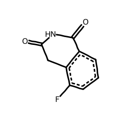 O=C1Cc2c(F)cccc2C(=O)N1